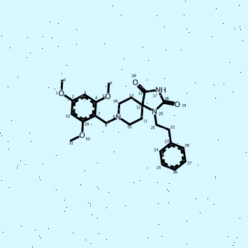 COc1cc(OC)c(CN2CCC3(CC2)C(=O)NC(=O)N3CCc2ccccc2)c(OC)c1